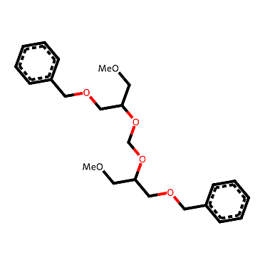 COCC(COCc1ccccc1)OCOC(COC)COCc1ccccc1